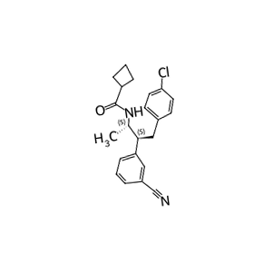 C[C@H](NC(=O)C1CCC1)[C@@H](Cc1ccc(Cl)cc1)c1cccc(C#N)c1